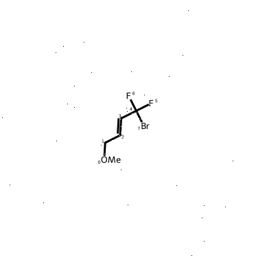 [CH2]OCC=CC(F)(F)Br